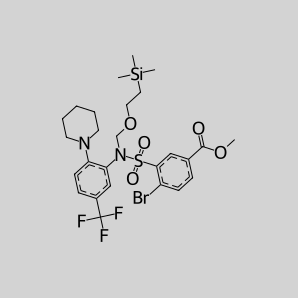 COC(=O)c1ccc(Br)c(S(=O)(=O)N(COCC[Si](C)(C)C)c2cc(C(F)(F)F)ccc2N2CCCCC2)c1